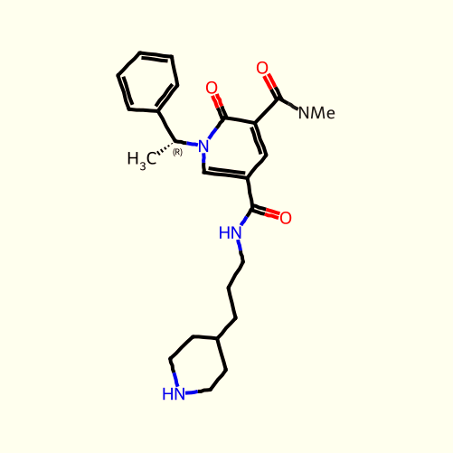 CNC(=O)c1cc(C(=O)NCCCC2CCNCC2)cn([C@H](C)c2ccccc2)c1=O